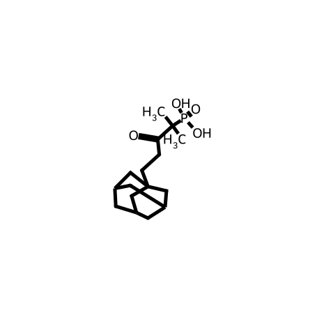 CC(C)(C(=O)CCC12CC3CC(CC(C3)C1)C2)P(=O)(O)O